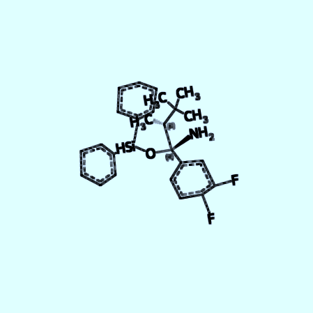 C[C@H](C(C)(C)C)[C@@](N)(O[SiH](c1ccccc1)c1ccccc1)c1ccc(F)c(F)c1